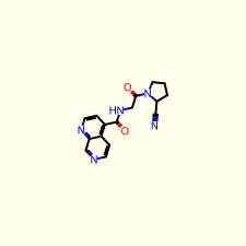 N#CC1CCCN1C(=O)CNC(=O)c1ccnc2cnccc12